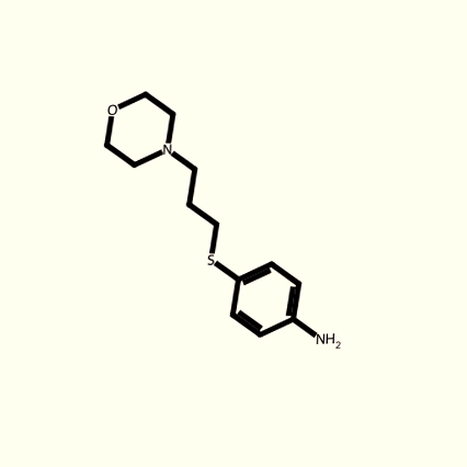 Nc1ccc(SCCCN2CCOCC2)cc1